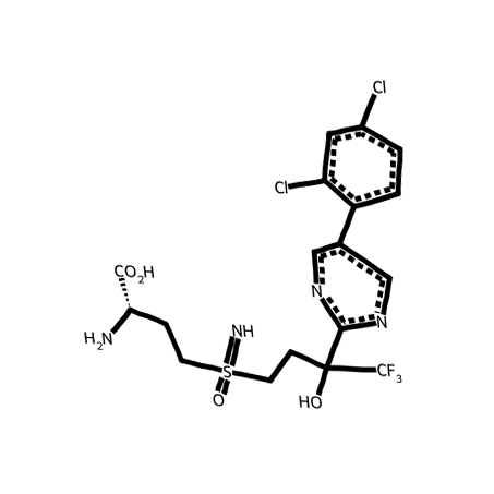 N=S(=O)(CC[C@H](N)C(=O)O)CCC(O)(c1ncc(-c2ccc(Cl)cc2Cl)cn1)C(F)(F)F